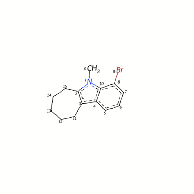 Cn1c2c(c3cccc(Br)c31)CCCCC2